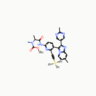 Cc1ccn2c(-c3ccc(NC(=O)C(C)N(C)C(=O)OC(C)(C)C)nc3C#CS(C(C)C)(C(C)C)C(C)C)c(-c3cnc(C)nc3)nc2c1